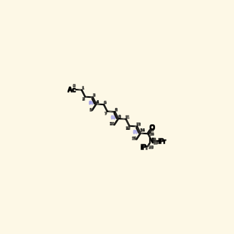 CC(=O)CC/C=C(\C)CC/C=C(\C)CC/C=C(\C)C(=O)N(C(C)C)C(C)C